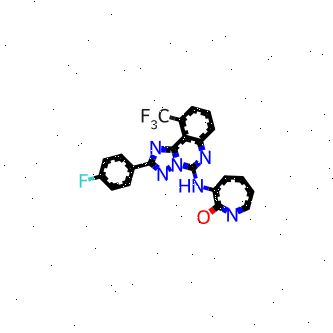 O=c1nccccc1Nc1nc2cccc(C(F)(F)F)c2c2nc(-c3ccc(F)cc3)nn12